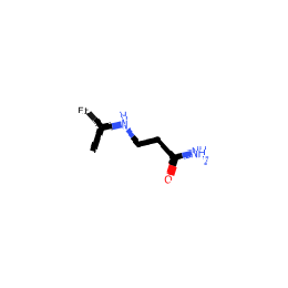 CCC(C)NCCC(N)=O